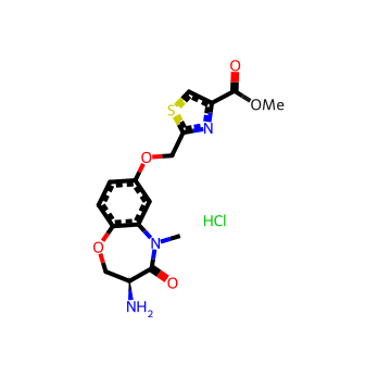 COC(=O)c1csc(COc2ccc3c(c2)N(C)C(=O)[C@@H](N)CO3)n1.Cl